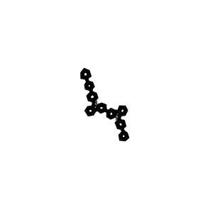 c1ccc(-c2ccc(-c3ccc(-n4c5ccccc5c5cc(-c6ccc7c(c6)c6ccccc6n7-c6ccc(-c7ccccc7)cc6)ccc54)cc3)cc2)cc1